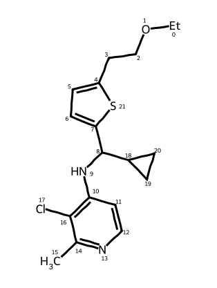 CCOCCc1ccc(C(Nc2ccnc(C)c2Cl)C2CC2)s1